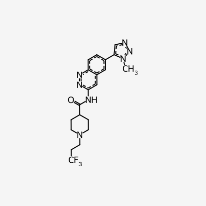 Cn1nncc1-c1ccc2nnc(NC(=O)C3CCN(CCC(F)(F)F)CC3)cc2c1